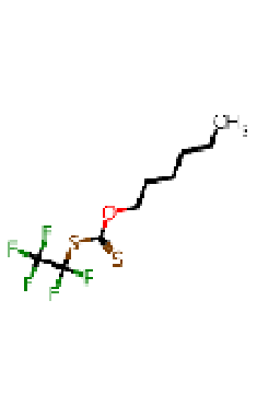 CCCCCCOC(=S)SC(F)(F)C(F)(F)F